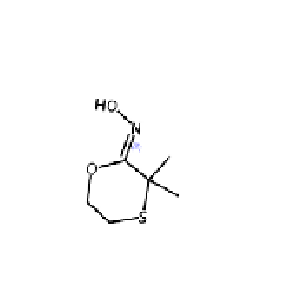 CC1(C)SCCO/C1=N\O